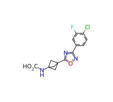 O=C(O)NC12CC(c3nc(-c4ccc(Cl)c(F)c4)no3)(C1)C2